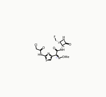 CO/N=C(\C(=O)N[C@H]1C(=O)N[C@H]1CF)c1csc(NC(=O)CCl)n1